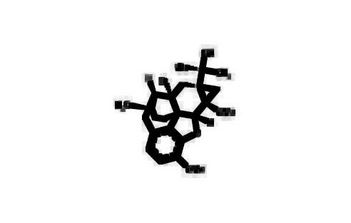 CC[C@]12C[C@]3([C@](C)(O)C(C)(C)C)C[C@]3(OC)[C@@H]3Oc4c(OC)ccc5c4[C@@]31CC[C@@H](C)[C@@H]2C5